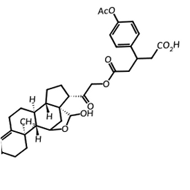 CC(=O)Oc1ccc(C(CC(=O)O)CC(=O)OCC(=O)[C@H]2CC[C@H]3[C@@H]4CCC5=CC(=O)CC[C@]5(C)[C@H]4C4C[C@]23C(O)O4)cc1